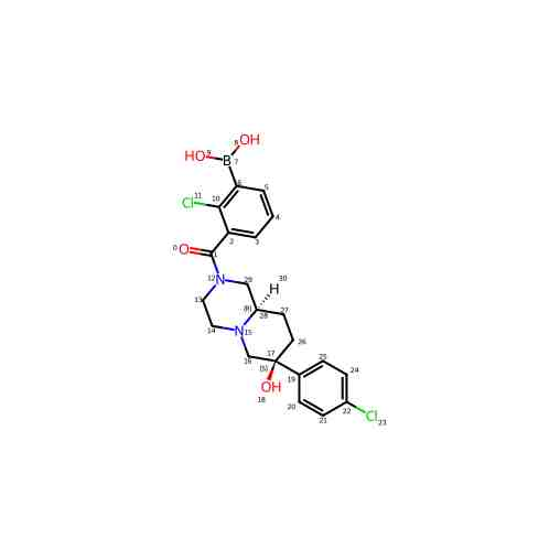 O=C(c1cccc(B(O)O)c1Cl)N1CCN2C[C@@](O)(c3ccc(Cl)cc3)CC[C@@H]2C1